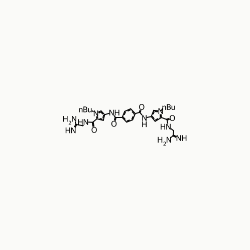 CCCCn1cc(NC(=O)c2ccc(C(=O)Nc3cc(C(=O)NCC(=N)N)n(CCCC)c3)cc2)cc1C(=O)NCC(=N)N